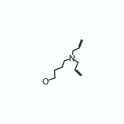 C=CCN(CC=C)CCCC[O]